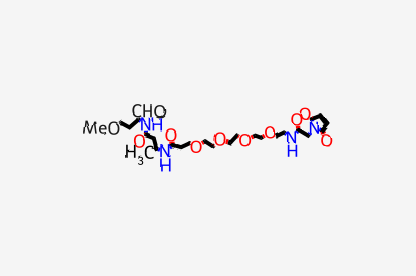 COCCC(C=O)NC(=O)CC(C)NC(=O)CCOCCOCCOCCOCCNC(=O)CN1C(=O)C=CC1=O